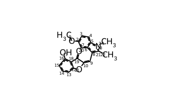 COc1ccc2c(c1)c(C=C1Oc3cccc(O)c3C1=O)c(C)n2C